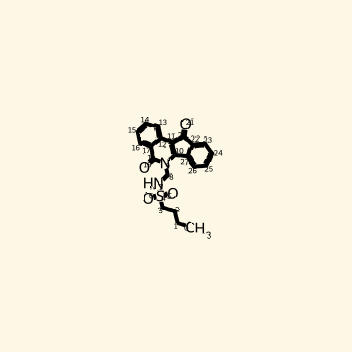 CCCCS(=O)(=O)NCn1c2c(c3ccccc3c1=O)C(=O)c1ccccc1-2